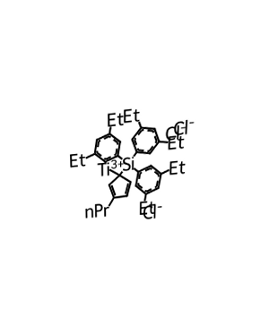 CCCC1=C[C]([Ti+3])([Si](c2cc(CC)cc(CC)c2)(c2cc(CC)cc(CC)c2)c2cc(CC)cc(CC)c2)C=C1.[Cl-].[Cl-].[Cl-]